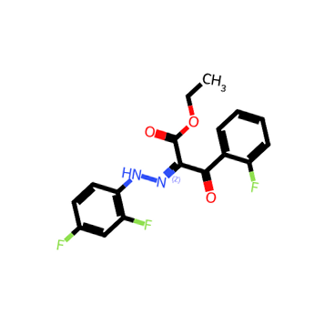 CCOC(=O)/C(=N\Nc1ccc(F)cc1F)C(=O)c1ccccc1F